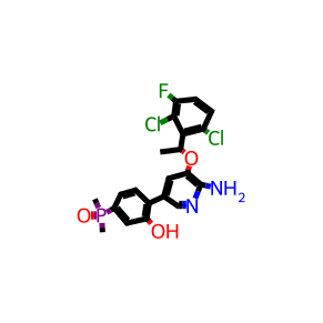 CC(Oc1cc(-c2ccc(P(C)(C)=O)cc2O)cnc1N)c1c(Cl)ccc(F)c1Cl